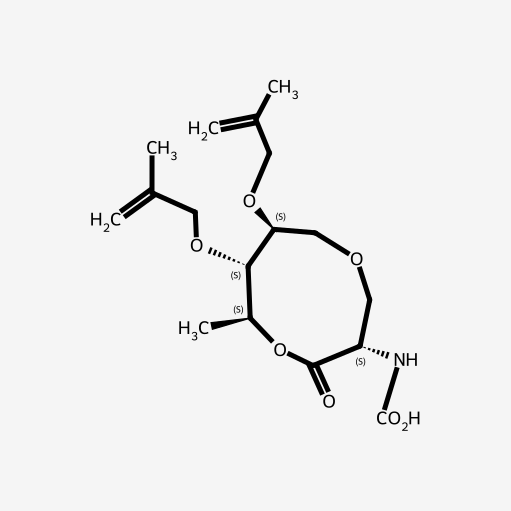 C=C(C)CO[C@H]1[C@H](C)OC(=O)[C@@H](NC(=O)O)COC[C@@H]1OCC(=C)C